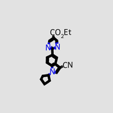 CCOC(=O)c1cnc(-c2ccc3c(c2)c(C#N)cn3C2CCCC2)nc1